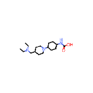 CCN(CC)CC1CCN(C2CCC(NC(=O)O)CC2)CC1